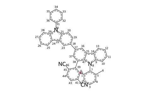 Cc1cccc(C)c1-n1c2ccccc2c2cc(-c3ccc4c(c3)c3ccccc3n4-c3ccccc3)cc(-c3cc(C#N)ccc3C#N)c21